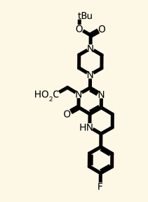 CC(C)(C)OC(=O)N1CCN(c2nc3c(c(=O)n2CC(=O)O)NC(c2ccc(F)cc2)CC3)CC1